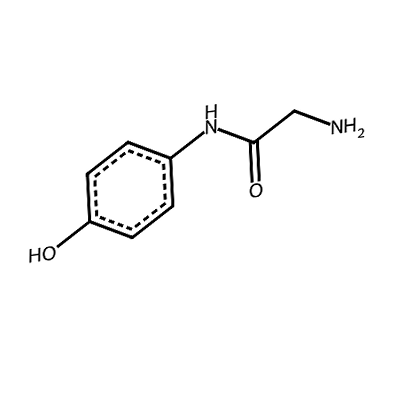 NCC(=O)Nc1ccc(O)cc1